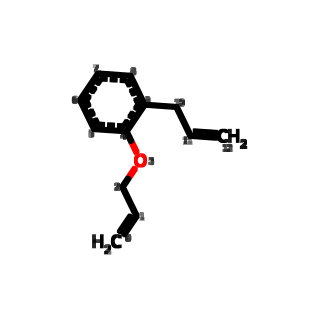 C=CCOc1ccccc1CC=C